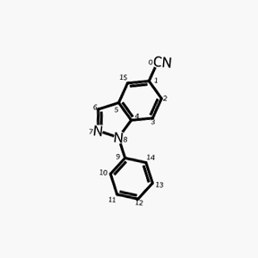 N#Cc1ccc2c(cnn2-c2ccccc2)c1